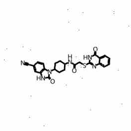 N#Cc1ccc2c(c1)[nH]c(=O)n2C1CCC(NC(=O)CSc2nc3ccccc3c(=O)[nH]2)CC1